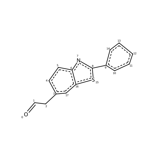 O=CCc1ccc2nc(-c3ccccc3)sc2c1